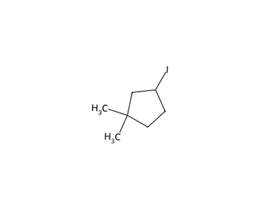 CC1(C)CCC(I)C1